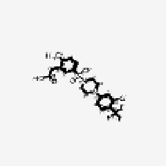 Cc1ccc(S(=O)(=O)N2CCN(c3ccc(C(F)(F)F)c(Cl)c3)CC2)cc1CC(=O)O